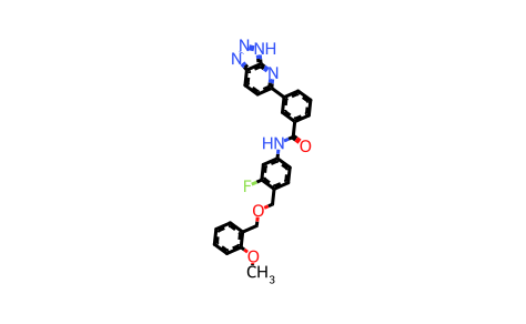 COc1ccccc1COCc1ccc(NC(=O)c2cccc(-c3ccc4nn[nH]c4n3)c2)cc1F